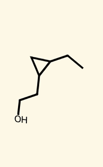 CCC1CC1CCO